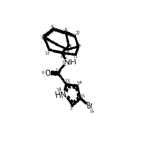 O=C(NC12CC3CC(CC(C3)C1)C2)c1cc(Br)c[nH]1